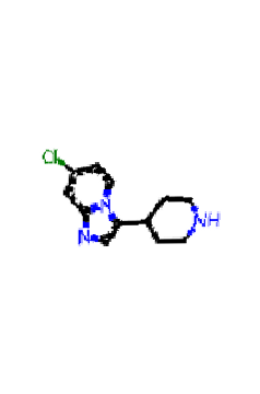 Clc1ccn2c(C3CCNCC3)cnc2c1